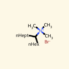 CCCCCCCC(CCCCCC)[N+](C)(C)C.[Br-]